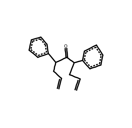 C=CCC(C(=O)C(CC=C)c1ccccc1)c1ccccc1